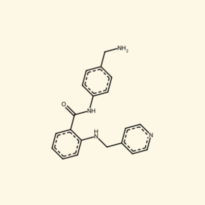 NCc1ccc(NC(=O)c2ccccc2NCc2ccncc2)cc1